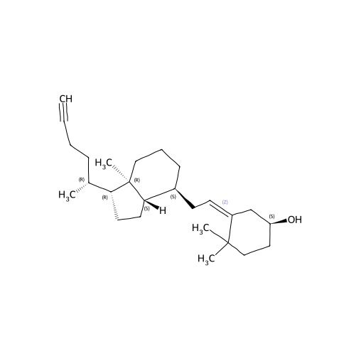 C#CCC[C@@H](C)[C@H]1CC[C@H]2[C@H](C/C=C3/C[C@@H](O)CCC3(C)C)CCC[C@]12C